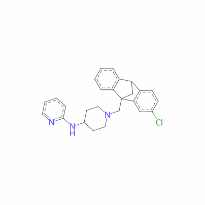 Clc1ccc2c(c1)C1(CN3CCC(Nc4ccccn4)CC3)CC2c2ccccc21